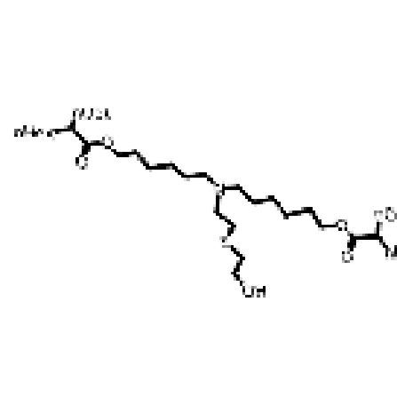 CCCCCCCCC(CCCCCC)C(=O)OCCCCCCN(CCCCCCOC(=O)C(CCCCCC)CCCCCCCC)CCSCCO